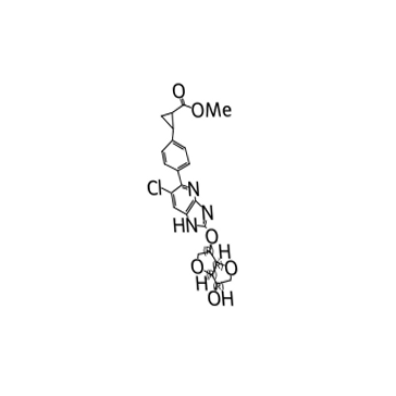 COC(=O)C1CC1c1ccc(-c2nc3nc(O[C@@H]4CO[C@H]5[C@@H]4OC[C@H]5O)[nH]c3cc2Cl)cc1